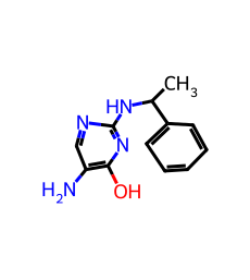 CC(Nc1ncc(N)c(O)n1)c1ccccc1